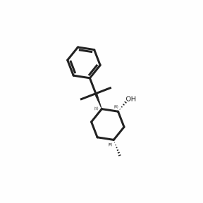 C[C@@H]1CC[C@@H](C(C)(C)c2ccccc2)[C@H](O)C1